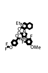 CCn1cc2c(c(N3C[C@@H](c4c(F)cc(OC)cc4F)[C@@H](NC(=O)c4ccc(OC(F)F)cc4)C3=O)c1=O)CCCC2